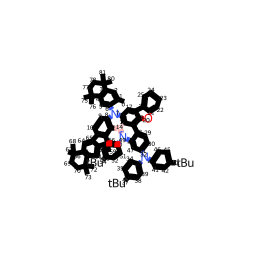 Cc1cc2c(cc1N1c3ccc4c(c3B3c5c1cc1c(oc6ccccc61)c5-c1ccc(N(c5ccc(C(C)(C)C)cc5)c5ccc(C(C)(C)C)cc5)cc1N3c1ccc(C(C)(C)C)cc1)C(C)(C)c1cc3c(cc1-4)C(C)(C)CCC3(C)C)C(C)(C)CCC2(C)C